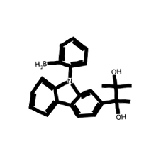 Bc1ccccc1-n1c2ccccc2c2ccc(C(C)(O)C(C)(C)O)cc21